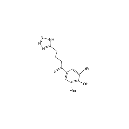 CC(C)(C)c1cc(C(=S)CCCc2nnn[nH]2)cc(C(C)(C)C)c1O